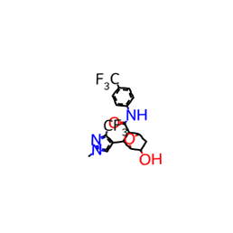 Cn1cc(C2C3OC(CC3O)C2C(=O)Nc2ccc(C(F)(F)F)cc2)c(C(F)(F)F)n1